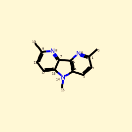 Cc1ccc2c(n1)c1nc(C)ccc1n2C